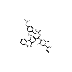 C=CC(=O)N1CC(C)N(C2=NS(=O)(=O)N(c3ccc(CN(C)C)cc3C(C)(C)C)c3nc(-c4ccccc4F)c(Cl)cc32)CC1C